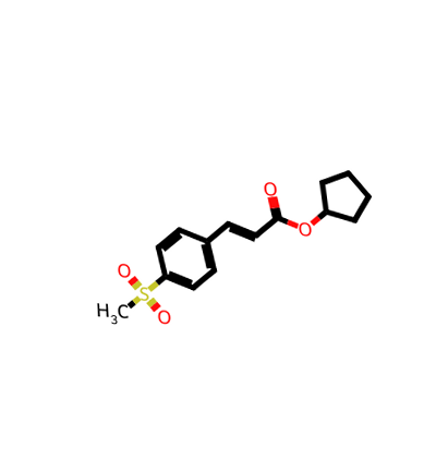 CS(=O)(=O)c1ccc(C=CC(=O)OC2CCCC2)cc1